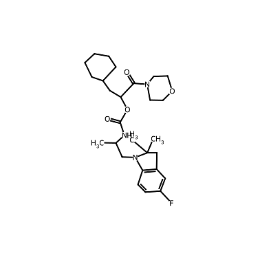 CC(CN1c2ccc(F)cc2CC1(C)C)NC(=O)OC(CC1CCCCC1)C(=O)N1CCOCC1